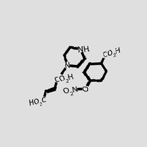 CN1CCNCC1.O=C(O)C1CCC(O[N+](=O)[O-])CC1.O=C(O)C=CC(=O)O